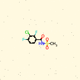 CS(=O)(=O)NC(=O)c1ccc(F)c(Cl)c1F